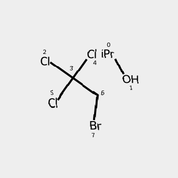 CC(C)O.ClC(Cl)(Cl)CBr